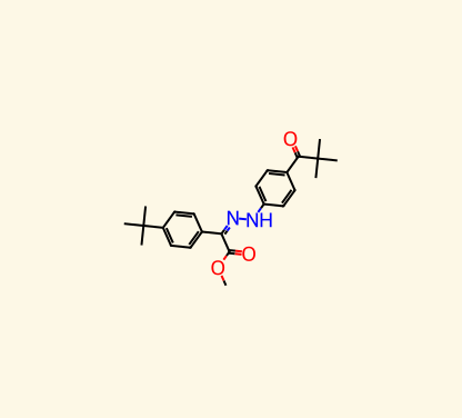 COC(=O)/C(=N\Nc1ccc(C(=O)C(C)(C)C)cc1)c1ccc(C(C)(C)C)cc1